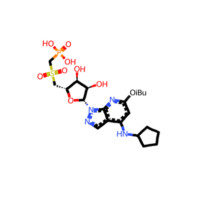 CC(C)COc1cc(NC2CCCC2)c2cnn([C@@H]3O[C@H](CS(=O)(=O)CP(=O)(O)O)[C@@H](O)[C@H]3O)c2n1